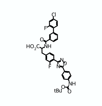 CC(C)(C)OC(=O)Nc1ccc(-c2nc(-c3ccc(CC(NC(=O)c4cccc(-c5ccc(Cl)cc5F)c4)C(=O)O)cc3F)no2)cc1